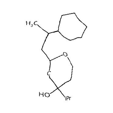 CC(CC1CC(O)(C(C)C)CCO1)C1CCCCC1